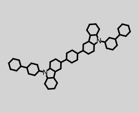 C1CCC(C2CCC(N3C4CCCCC4C4CC(C5CCC(C6CCC7C(C6)C6CCCCC6N7C6CCCC(C7CCCCC7)C6)CC5)CCC43)CC2)CC1